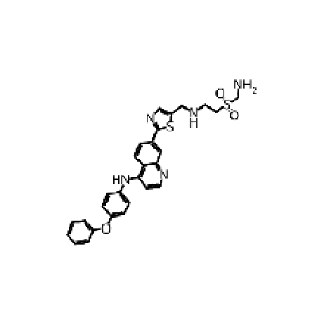 NCS(=O)(=O)CCNCc1cnc(-c2ccc3c(Nc4ccc(Oc5ccccc5)cc4)ccnc3c2)s1